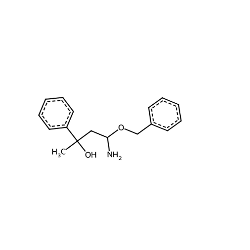 CC(O)(CC(N)OCc1ccccc1)c1ccccc1